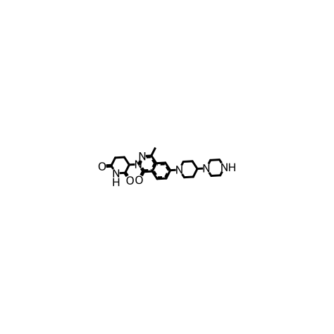 Cc1nn(C2CCC(=O)NC2=O)c(=O)c2ccc(N3CCC(N4CCNCC4)CC3)cc12